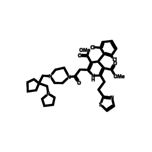 COC(=O)C1=C(CCc2nccs2)NC(CC(=O)N2CCN(CC3(CN4CCCC4)CCCC3)CC2)=C(C(=O)OC)C1c1c(Cl)cccc1Cl